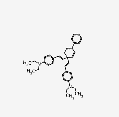 CCN(CC)c1ccc(C=CC2(C=Cc3ccc(N(CC)CC)cc3)C=CC(c3ccccc3)=CC2)cc1